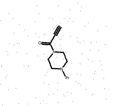 C#CC(=O)N1CCN(C(C)C)CC1